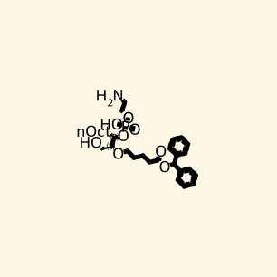 CCCCCCCC[C@@H](OP(=O)(O)OCCN)[C@H](CO)OCCCCC(=O)OC(c1ccccc1)c1ccccc1